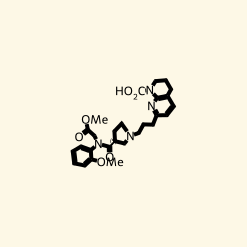 COC(=O)CN(C(=O)[C@H]1CCN(CCCc2ccc3c(n2)N(C(=O)O)CCC3)C1)c1ccccc1OC